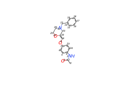 CC(=O)Nc1ccc(OC=C2CN(Cc3ccccc3)CCO2)cc1